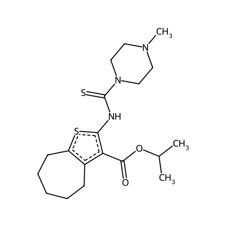 CC(C)OC(=O)c1c(NC(=S)N2CCN(C)CC2)sc2c1CCCCC2